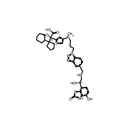 CN(CCCn1nnc2cc(CNC[C@H](O)c3ccc(O)c4[nH]c(=O)sc34)ccc21)c1csc([C@@](O)(C(=O)O)C2(C3CCCCC3)CCCC2)c1